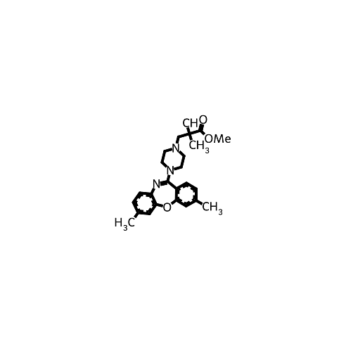 COC(=O)C(C)(C)CN1CCN(C2=Nc3ccc(C)cc3Oc3cc(C)ccc32)CC1